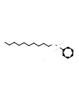 CCCCCCCCCCOS(=O)(=O)c1ccccc1.[KH]